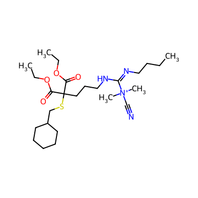 CCCCN=C(NCCCC(SCC1CCCCC1)(C(=O)OCC)C(=O)OCC)[N+](C)(C)C#N